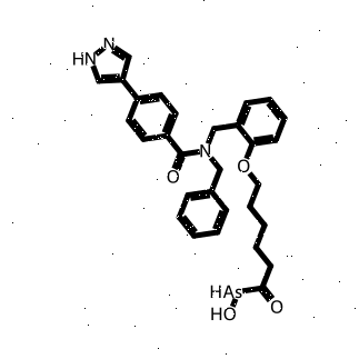 O=C(CCCCCOc1ccccc1CN(Cc1ccccc1)C(=O)c1ccc(-c2cn[nH]c2)cc1)[AsH]O